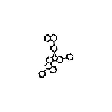 C1=CC2=C(c3ccccc3)CC3C=Cc4c(c5ccc(C6=CCCC=C6)cc5n4C4C=CC(C5CCCc6ccccc65)=CC4)C3C2C=C1